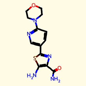 NC(=O)c1nc(-c2ccc(N3CCOCC3)nc2)sc1N